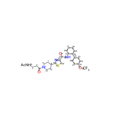 CC(=O)NCCC(=O)N1CCC(c2nc(C(=O)Nc3ccccc3-c3ccc(OC(F)(F)F)cc3)cs2)CC1